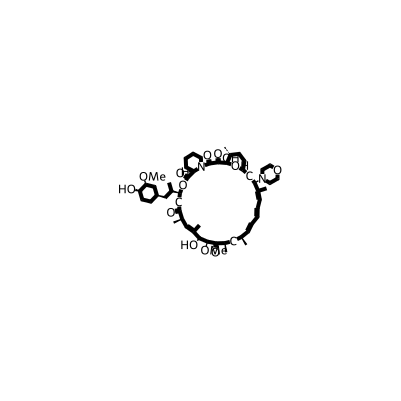 CO[C@@H]1C[C@@H](CC(C)[C@@H]2CC(=O)[C@H](C)/C=C(\C)[C@@H](O)[C@@H](OC)C(=O)[C@H](C)C[C@H](C)/C=C/C=C/C=C(/C)[C@@H](N3CCOCC3)C[C@@H]3CC[C@@H](C)[C@@](O)(O3)C(=O)C(=O)N3CCCC[C@H]3C(=O)O2)CC[C@H]1O